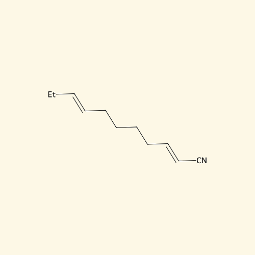 CCC=CCCCCC=CC#N